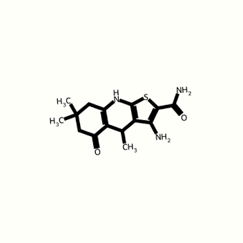 CC1C2=C(CC(C)(C)CC2=O)Nc2sc(C(N)=O)c(N)c21